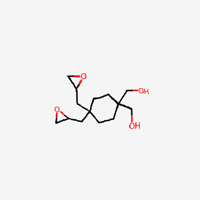 OCC1(CO)CCC(CC2CO2)(CC2CO2)CC1